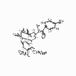 COc1ccc([C@@]23CC[C@@H](NC(=O)c4ccc(Br)cc4)C[C@@H]2CN(C)C3)cc1OC